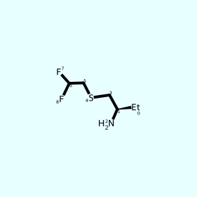 CC[C@@H](N)CSCC(F)F